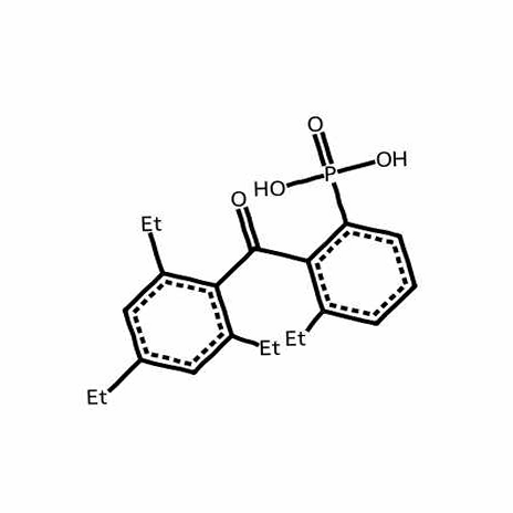 CCc1cc(CC)c(C(=O)c2c(CC)cccc2P(=O)(O)O)c(CC)c1